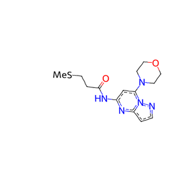 CSCCC(=O)Nc1cc(N2CCOCC2)n2nccc2n1